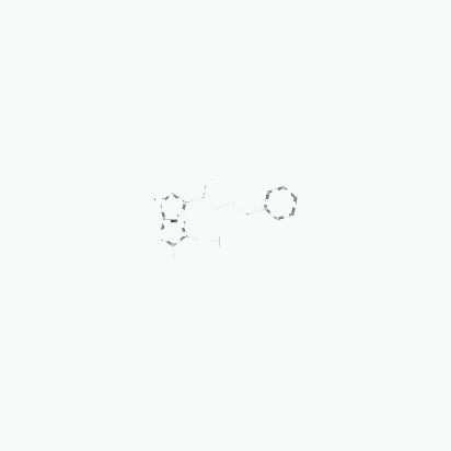 Cc1sc2ncc(C(O)CCCc3ccccc3)n2c1C